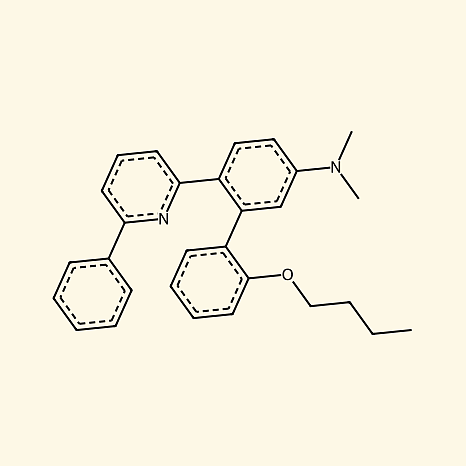 CCCCOc1ccccc1-c1cc(N(C)C)ccc1-c1cccc(-c2ccccc2)n1